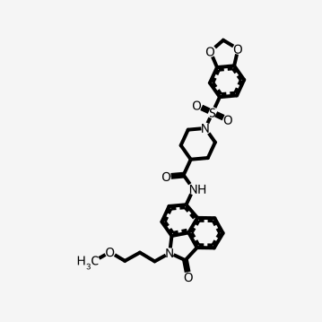 COCCCN1C(=O)c2cccc3c(NC(=O)C4CCN(S(=O)(=O)c5ccc6c(c5)OCO6)CC4)ccc1c23